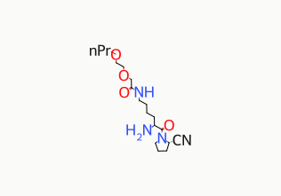 CCCOCCOCC(=O)NCCCC[C@H](N)C(=O)N1CCC[C@H]1C#N